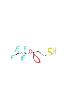 O=C(CCS)OCC(F)(F)C(F)F